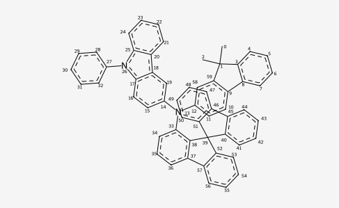 CC1(C)c2ccccc2-c2ccc(N(c3ccc4c(c3)c3ccccc3n4-c3ccccc3)c3cccc4c3C3(c5ccccc5-c5ccccc53)c3ccccc3-4)cc21